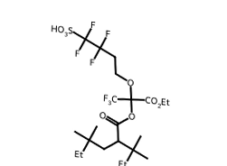 CCOC(=O)C(OCCC(F)(F)C(F)(F)S(=O)(=O)O)(OC(=O)C(CC(C)(C)CC)C(C)(C)CC)C(F)(F)F